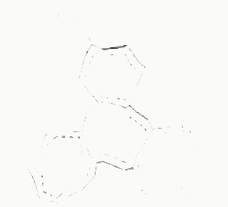 Cc1ccc2c(c1)c1ccccc1c1nccnc21